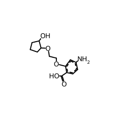 Nc1ccc(C(=O)O)c(OCCOC2CCCC2O)c1